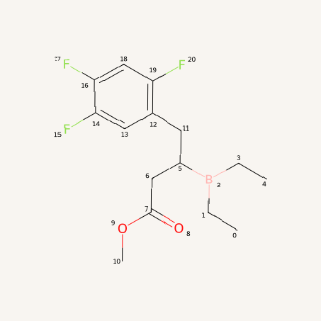 CCB(CC)C(CC(=O)OC)Cc1cc(F)c(F)cc1F